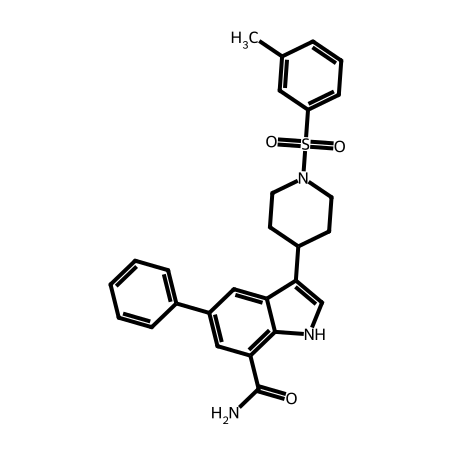 Cc1cccc(S(=O)(=O)N2CCC(c3c[nH]c4c(C(N)=O)cc(-c5ccccc5)cc34)CC2)c1